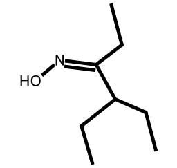 CCC(=NO)C(CC)CC